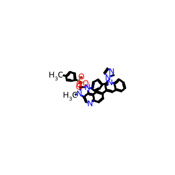 Cc1ccc(S(=O)(=O)O[N+]2(c3ccc(Cn4ccnc4)cc3)C(=O)N(C)c3cnc4ccc(-c5cnc6ccccc6c5)cc4c32)cc1